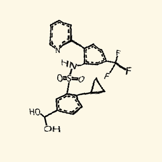 O=S(=O)(Nc1cc(C(F)(F)F)ccc1-c1ccccn1)c1cc(C(O)O)ccc1C1CC1